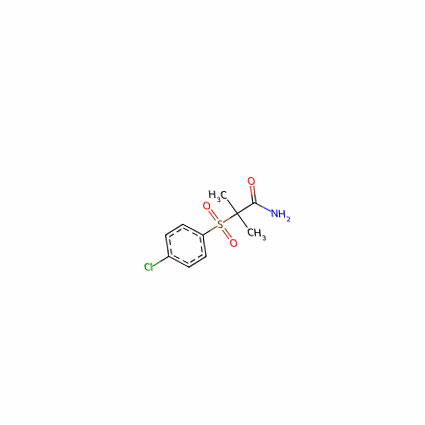 CC(C)(C(N)=O)S(=O)(=O)c1ccc(Cl)cc1